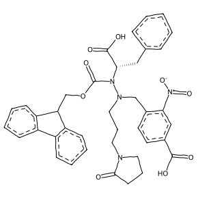 O=C(O)c1ccc(CN(CCCN2CCCC2=O)N(C(=O)OCC2c3ccccc3-c3ccccc32)[C@@H](Cc2ccccc2)C(=O)O)c([N+](=O)[O-])c1